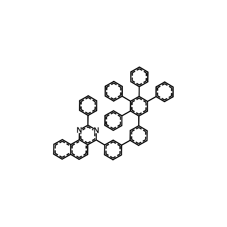 c1ccc(-c2nc(-c3cccc(-c4cccc(-c5cc(-c6ccccc6)c(-c6ccccc6)c(-c6ccccc6)c5-c5ccccc5)c4)c3)c3ccc4ccccc4c3n2)cc1